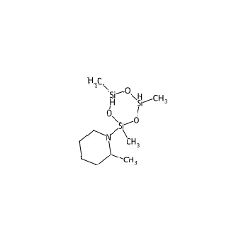 CC1CCCCN1[Si]1(C)O[SiH](C)O[SiH](C)O1